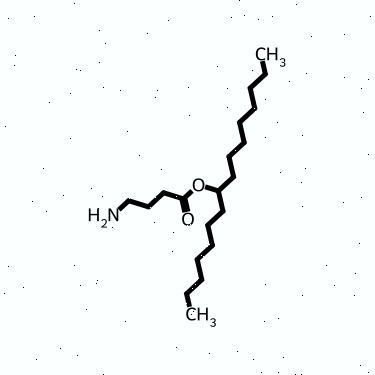 CCCCCCCCC(CCCCCCC)OC(=O)CCCN